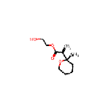 C=C(C(=O)OCCO)C1([SiH3])CCCCO1